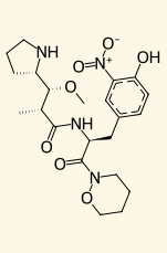 CO[C@@H]([C@@H]1CCCN1)[C@@H](C)C(=O)N[C@@H](Cc1ccc(O)c([N+](=O)[O-])c1)C(=O)N1CCCCO1